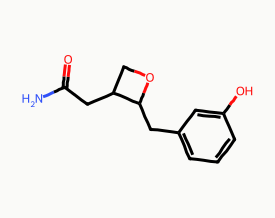 NC(=O)CC1COC1Cc1cccc(O)c1